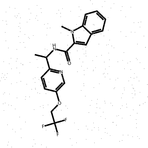 CC(NC(=O)c1cc2ccccc2n1C)c1ccc(OCC(F)(F)F)cn1